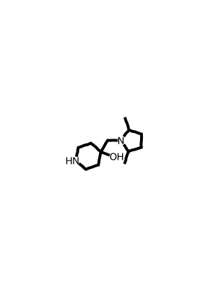 CC1CCC(C)N1CC1(O)CCNCC1